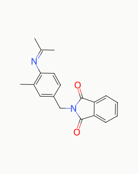 CC(C)=Nc1ccc(CN2C(=O)c3ccccc3C2=O)cc1C